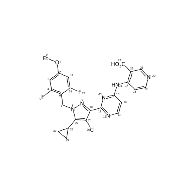 CCOc1cc(F)c(Cn2nc(-c3nccc(Nc4ccncc4C(=O)O)n3)c(Cl)c2C2CC2)c(F)c1